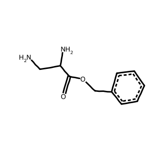 NCC(N)C(=O)OCc1ccccc1